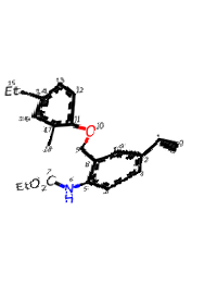 C=Cc1ccc(NC(=O)OCC)c(COc2ccc(CC)cc2C)c1